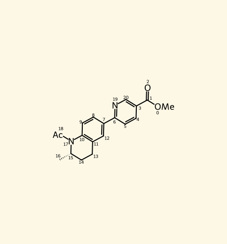 COC(=O)c1ccc(-c2ccc3c(c2)CC[C@H](C)N3C(C)=O)nc1